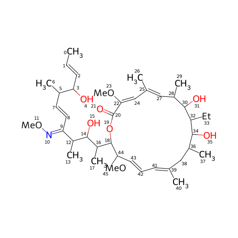 C/C=C/C(O)C(C)/C=C/C(=N\OC)C(C)C(O)C(C)C1OC(=O)/C(OC)=C/C(C)=C/C(C)C(O)C(CC)C(O)C(C)C/C(C)=C/C=C/C1OC